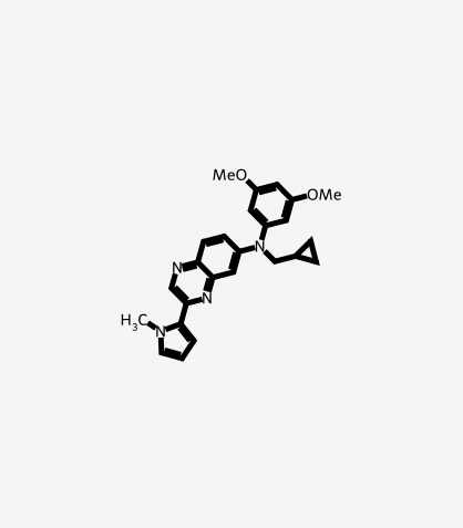 COc1cc(OC)cc(N(CC2CC2)c2ccc3ncc(-c4cccn4C)nc3c2)c1